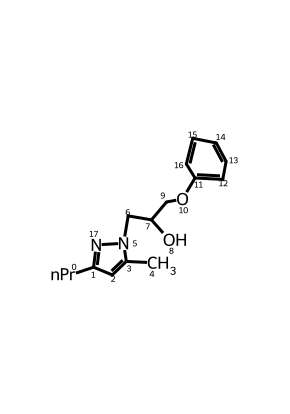 CCCc1cc(C)n(CC(O)COc2ccccc2)n1